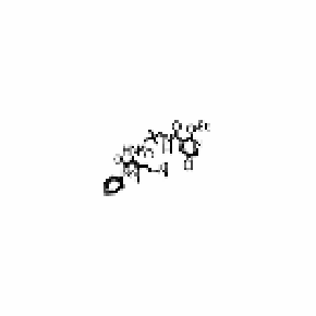 CCOc1ncc(Cl)cc1C(=O)NCC(C)(C)CC(=O)Nc1c(CCN(C)C)n(C)n(-c2ccccc2)c1=O